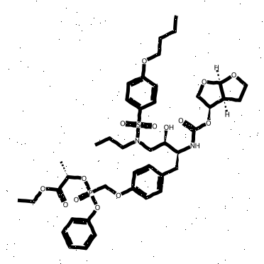 CCCCOc1ccc(S(=O)(=O)N(CCC)C[C@@H](O)[C@H](Cc2ccc(OCP(=O)(Oc3ccccc3)O[C@@H](C)C(=O)OCC)cc2)NC(=O)O[C@H]2CO[C@H]3OCC[C@H]32)cc1